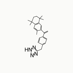 C=C(c1ccc(Cc2nn[nH]n2)cc1)c1cc2c(cc1C)C(C)(C)CCC2(C)C